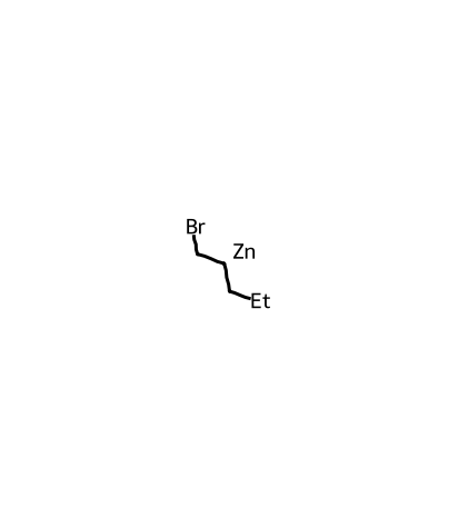 CCCCCBr.[Zn]